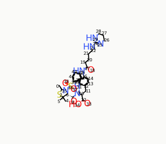 CC1SC(C)(C)[C@@H](C(=O)N[C@@H](Cc2ccc(NC(=O)CCCCNC3=NCCCN3)cc2)C(=O)O)N1S(=O)(=O)c1ccccc1